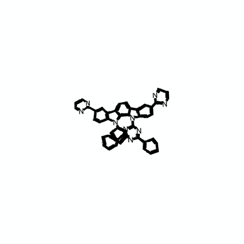 c1ccc(-c2nc(-c3ccccc3)nc(-n3c4ccc(-c5ncccn5)cc4c4ccc5c6cc(-c7ncccn7)ccc6n(-c6ccccc6)c5c43)n2)cc1